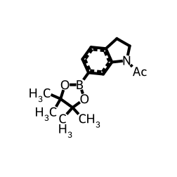 CC(=O)N1CCc2ccc(B3OC(C)(C)C(C)(C)O3)cc21